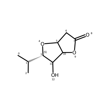 CC(C)[C@@H]1OC2CC(=O)OC2C1O